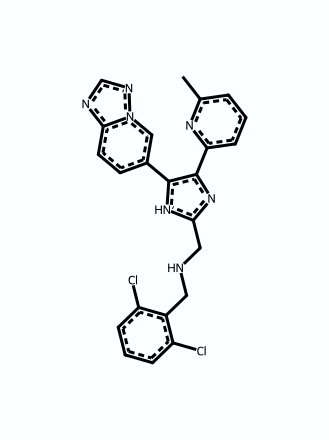 Cc1cccc(-c2nc(CNCc3c(Cl)cccc3Cl)[nH]c2-c2ccc3ncnn3c2)n1